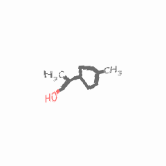 CC1=CCC(C(C)=CO)CC1